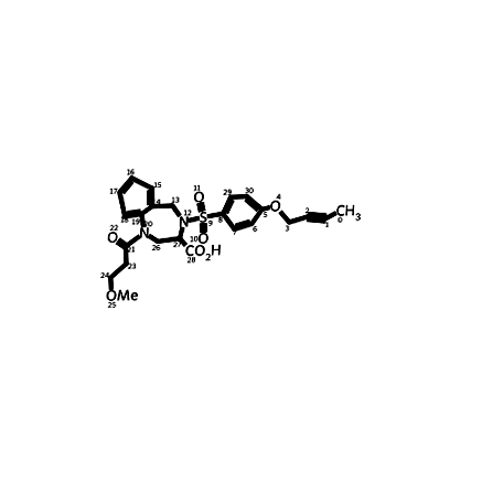 CC#CCOc1ccc(S(=O)(=O)N2Cc3ccccc3N(C(=O)CCOC)CC2C(=O)O)cc1